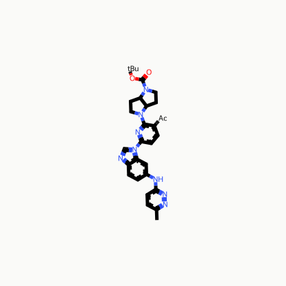 CC(=O)c1ccc(-n2cnc3ccc(Nc4ccc(C)nn4)cc32)nc1N1CCC2C1CCN2C(=O)OC(C)(C)C